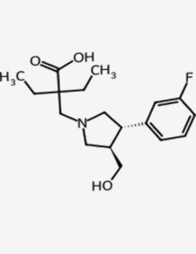 CCC(CC)(CN1C[C@H](CO)[C@@H](c2cccc(F)c2)C1)C(=O)O